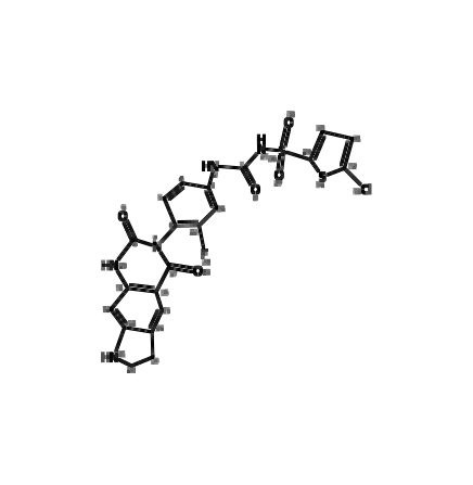 O=C(Nc1ccc(-n2c(=O)[nH]c3cc4c(cc3c2=O)CCN4)c(F)c1)NS(=O)(=O)c1ccc(Cl)s1